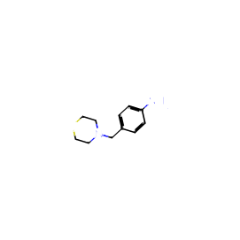 Nc1ccc(CN2CCSCC2)cc1